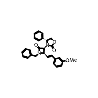 COc1cccc(/C=C/[C@@H]2[C@H](N3C(=O)OC[C@H]3c3ccccc3)C(=O)N2Cc2ccccc2)c1